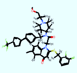 [2H]c1c(C)c([2H])c2c(=O)c([2H])c(SC([2H])([2H])c3cccc(F)c3F)n(C([2H])([2H])C(=O)N(C([2H])([2H])c3ccc(-c4ccc(C(F)(F)F)cc4)cc3)C3([2H])C([2H])([2H])C([2H])([2H])N(C([2H])([2H])COC)C([2H])([2H])C3([2H])[2H])c2c1[2H]